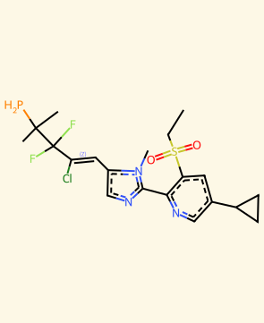 CCS(=O)(=O)c1cc(C2CC2)cnc1-c1ncc(/C=C(\Cl)C(F)(F)C(C)(C)P)n1C